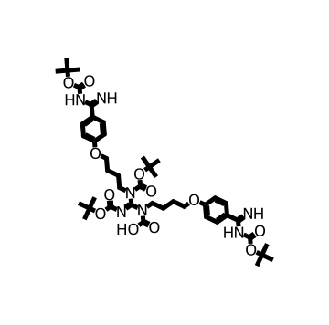 CC(C)(C)OC(=O)N=C(N(CCCCOc1ccc(C(=N)NC(=O)OC(C)(C)C)cc1)C(=O)O)N(CCCCOc1ccc(C(=N)NC(=O)OC(C)(C)C)cc1)C(=O)OC(C)(C)C